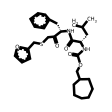 CC(C)C[C@H](NC(=O)OCC1CCCCCC1)C(=O)N[C@@H](Cc1ccccc1)C(=O)CSCc1ccco1